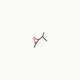 CC(C)C1OC1C